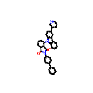 O=C1c2cccc(-n3c4ccccc4c4cc(-c5cccnc5)ccc43)c2C(=O)N1c1ccc(-c2ccccc2)cc1